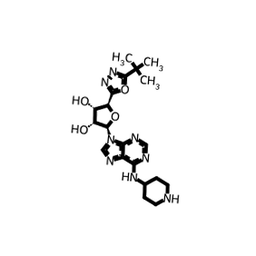 CC(C)(C)c1nnc([C@H]2O[C@@H](n3cnc4c(NC5CCNCC5)ncnc43)[C@H](O)[C@@H]2O)o1